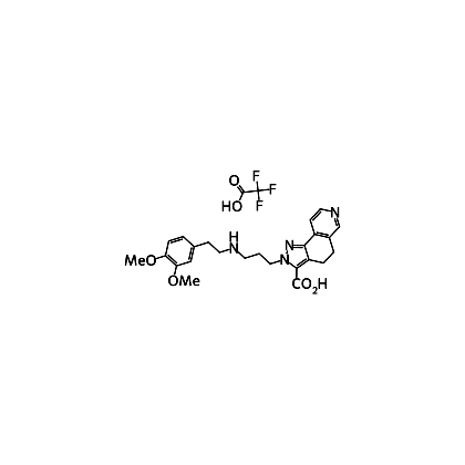 COc1ccc(CCNCCCn2nc3c(c2C(=O)O)CCc2cnccc2-3)cc1OC.O=C(O)C(F)(F)F